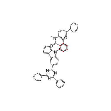 CN(C(=O)c1c(C=O)cccc1-n1c2ccccc2c2cc(-c3nc(-c4ccccc4)nc(-c4ccccc4)n3)ccc21)c1ccc(-c2ccccc2)cc1-c1ccccc1